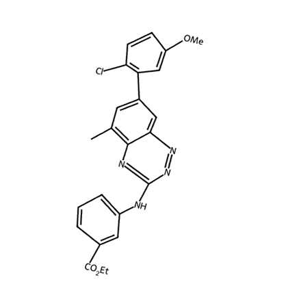 CCOC(=O)c1cccc(Nc2nnc3cc(-c4cc(OC)ccc4Cl)cc(C)c3n2)c1